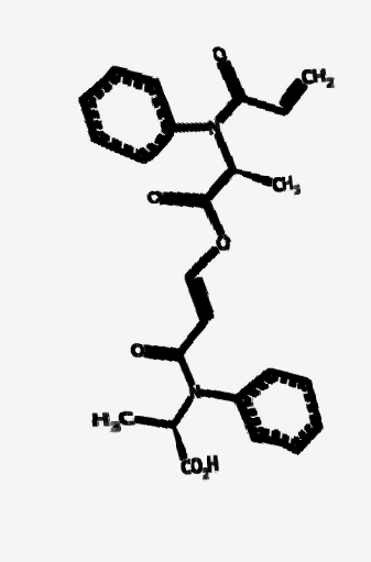 C=CC(=O)N(c1ccccc1)[C@@H](C)C(=O)O/C=C/C(=O)N(c1ccccc1)[C@H](C)C(=O)O